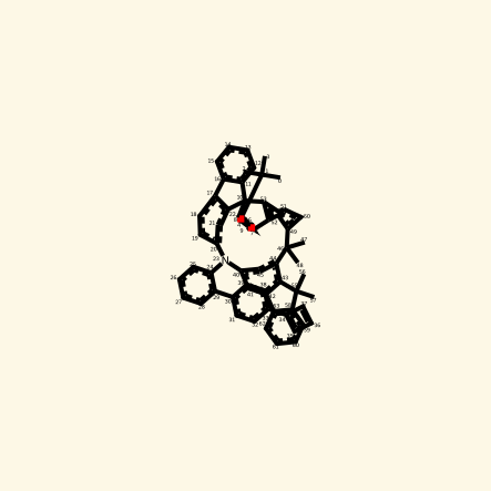 CC(C)(C)c1ccc2c(c1)C13c4ccccc4-c4ccc(cc41)N(c1ccccc1-c1ccc(C4=CC=C4)cc1)c1cc4c(c(c1)C(C)(C)c1ccc-2c3c1)C(C)(C)c1ccccc1-4